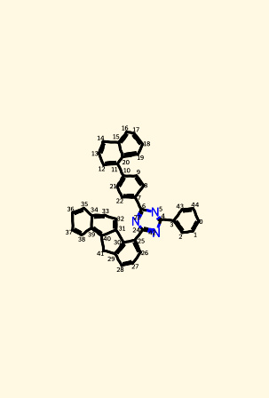 c1ccc(-c2nc(-c3ccc(-c4cccc5ccccc45)cc3)nc(-c3cccc4c3-c3ccc5ccccc5c3C4)n2)cc1